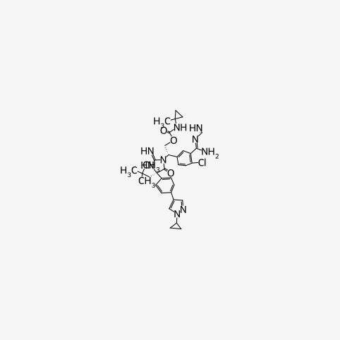 CC(C)(C)C[C@]1(c2ccc(-c3cnn(C4CC4)c3)cc2)NC(=N)N([C@H](COC(=O)NC2(C)CC2)c2ccc(Cl)c(/C(N)=N/C=N)c2)C1=O